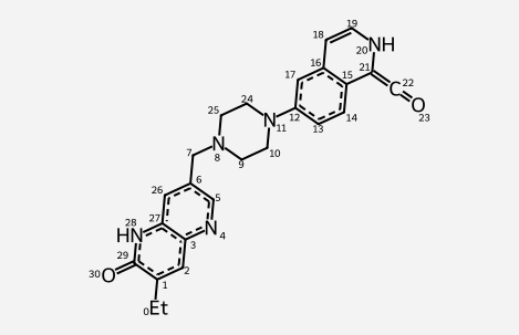 CCc1cc2ncc(CN3CCN(c4ccc5c(c4)C=CNC5=C=O)CC3)cc2[nH]c1=O